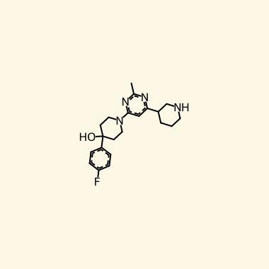 Cc1nc(C2CCCNC2)cc(N2CCC(O)(c3ccc(F)cc3)CC2)n1